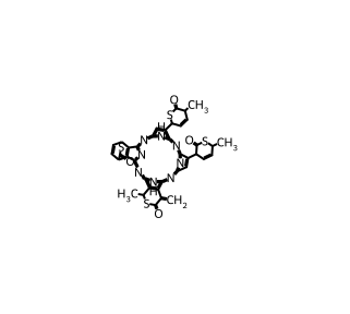 C=C1C(=O)SC(C)c2c1c1nc3nc(nc4[nH]c(cc4C4C=CC(C)C(=O)S4)nc4nc(nc2[nH]1)C1=C4C2C=CC1C(=O)S2)C(C1C=CC(C)SC1=O)=C3